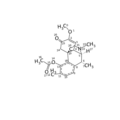 COC1=CC2[C@@H]3[C@H](C)c4ccc(C)c(OC(C)=O)c4[C@]2(CCN3C)CC1=O